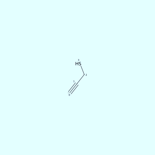 [C]#CCS